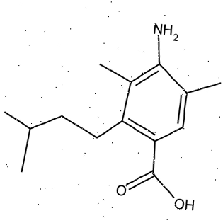 Cc1cc(C(=O)O)c(CCC(C)C)c(C)c1N